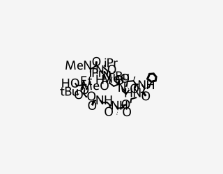 CCC(CO)OC(COC(=O)NCCC(=O)N[C@@H](C)C(=O)OCCCNC(=O)[C@H](Cc1ccccc1)NC(=O)[C@H](C)[C@@H](OC)[C@@H]1CCCN1C(=O)C[C@@H](OC)[C@H]([C@@H](C)CC)N(C)C(=O)[C@@H](NC(=O)[C@@H](NC)C(C)C)C(C)C)OC(C)(C)C